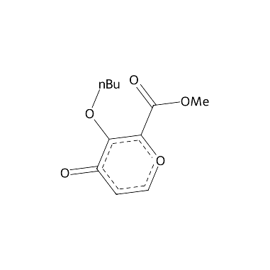 CCCCOc1c(C(=O)OC)occc1=O